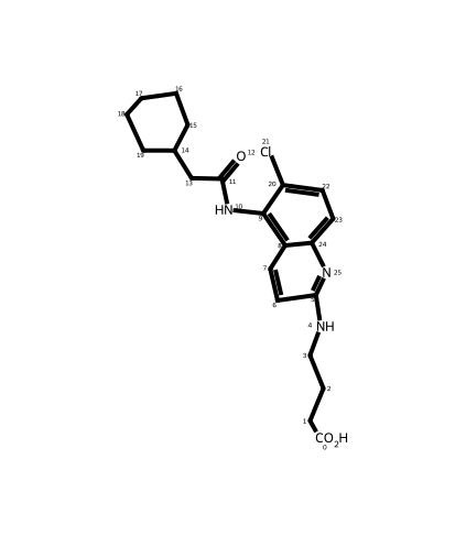 O=C(O)CCCNc1ccc2c(NC(=O)CC3CCCCC3)c(Cl)ccc2n1